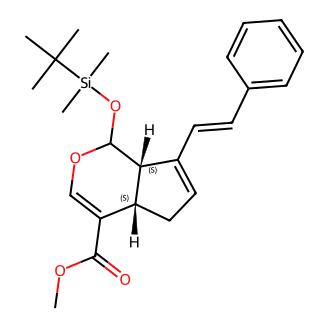 COC(=O)C1=COC(O[Si](C)(C)C(C)(C)C)[C@@H]2C(C=Cc3ccccc3)=CC[C@H]12